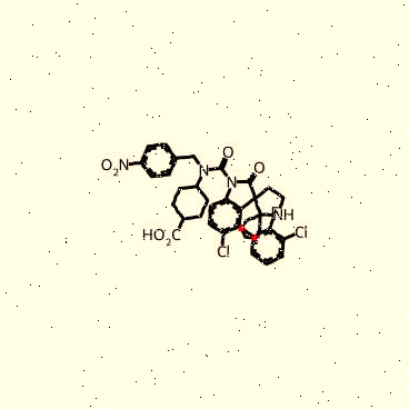 O=C(O)C1CCC(N(Cc2ccc([N+](=O)[O-])cc2)C(=O)N2C(=O)C3(CCNC34CCCCC4)c3c2ccc(Cl)c3-c2cccc(Cl)c2F)CC1